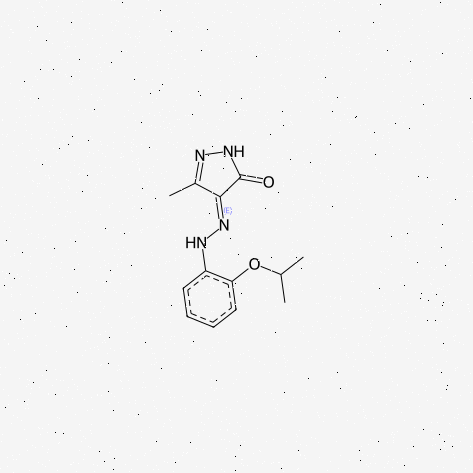 CC1=NNC(=O)/C1=N/Nc1ccccc1OC(C)C